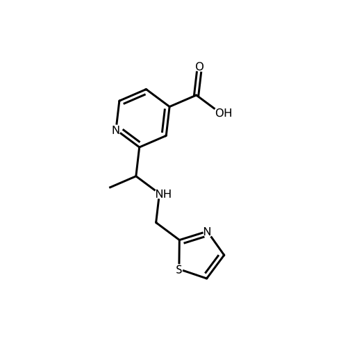 CC(NCc1nccs1)c1cc(C(=O)O)ccn1